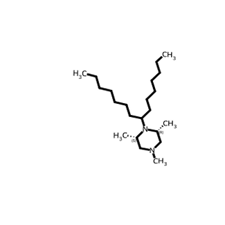 CCCCCCCC(CCCCCCC)N1[C@H](C)CN(C)C[C@@H]1C